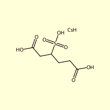 O=C(O)CCC(CC(=O)O)S(=O)(=O)O.[CsH]